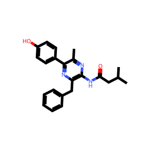 Cc1nc(NC(=O)CC(C)C)c(Cc2ccccc2)nc1-c1ccc(O)cc1